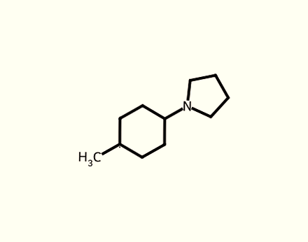 C[C]1CCC(N2CCCC2)CC1